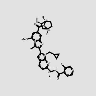 COc1cc(C(=O)N2[C@H]3CC[C@@H]2[C@H](N)C3)cc2nc(-c3cc4ccc([C@@H](C)NC(=O)c5ccncc5F)nc4n3CC3CC3)c(C)n12